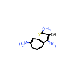 N#C/C(C(N)=S)=C(\N)C1=CC=C(N)CC=C1